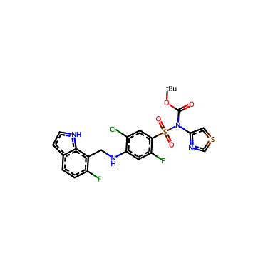 CC(C)(C)OC(=O)N(c1cscn1)S(=O)(=O)c1cc(Cl)c(NCc2c(F)ccc3cc[nH]c23)cc1F